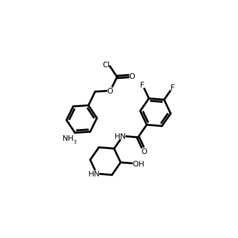 N.O=C(Cl)OCc1ccccc1.O=C(NC1CCNCC1O)c1ccc(F)c(F)c1